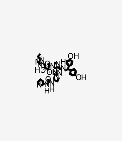 CCn1nnc([C@H]2O[C@@H](n3cnc4c(NCC(c5ccc(O)cc5)c5ccc(O)cc5)nc(N5CCC(NC(=O)Nc6cccnc6)C5)nc43)[C@H](O)[C@@H]2O)n1